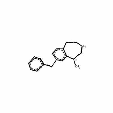 C[C@@H]1CNCCc2ccc(Cc3ccccc3)cc21